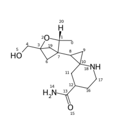 C[C@H]1OC2(CO)CC1(C1CC13CC(C(N)=O)CCN3)C2